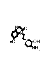 COc1ccc2ncc(=O)n(CCN3CC[C@H](N)[C@H](O)C3)c2c1